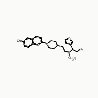 CC(C)CC(c1ccoc1)N(CCC1CCN(c2ccc3cc(Cl)ccc3n2)CC1)C(=O)O